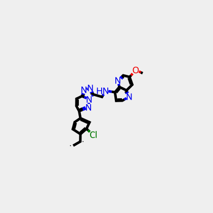 [CH2][CH]c1ccc(-c2ccc3nnc(CNc4ccnc5cc(OC)cnc45)n3n2)cc1Cl